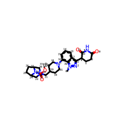 Cn1nc(C2CCC(=O)NC2=O)c2cccc(N3CCC(CN4CC5CCC(C4)N5C(=O)OC(C)(C)C)CC3)c21